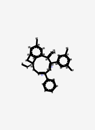 CC[C@@]12C/C=C(c3ccccc3)\N=C(\c3cc(C)cc(C)c3)C(=N)c3cc(C)cc(c31)C2